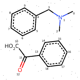 CN(C)Cc1ccccc1.O=C(O)C(=O)c1ccccc1